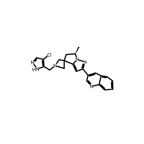 C[C@@H]1CC2(CN(Cc3[nH]ncc3Cl)C2)c2cc(-c3cnc4ccccc4c3)nn21